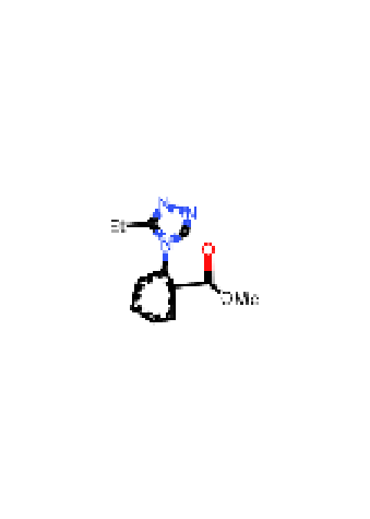 CCc1nncn1-c1ccccc1C(=O)OC